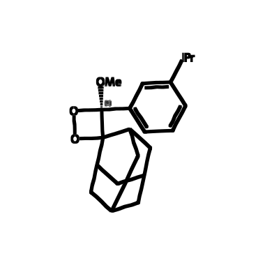 CO[C@@]1(c2cccc(C(C)C)c2)OOC12C1CC3CC(C1)CC2C3